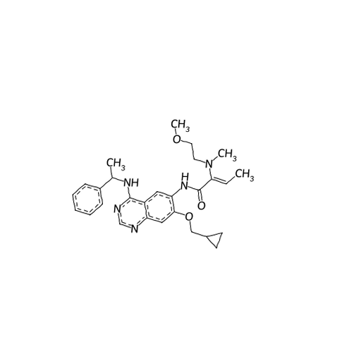 CC=C(C(=O)Nc1cc2c(NC(C)c3ccccc3)ncnc2cc1OCC1CC1)N(C)CCOC